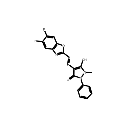 Cn1c(O)c(N=Nc2nc3cc(F)c(F)cc3o2)c(=O)n1-c1ccccc1